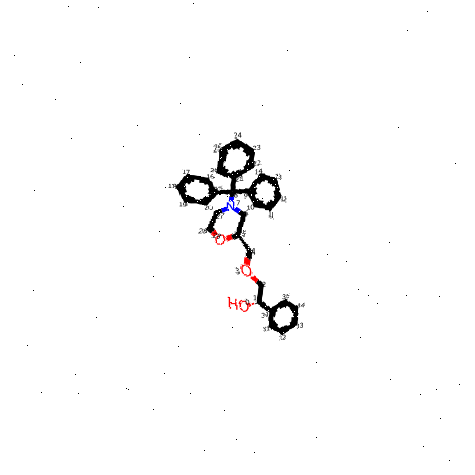 O[C@H](COC[C@@H]1CN(C(c2ccccc2)(c2ccccc2)c2ccccc2)CCO1)c1ccccc1